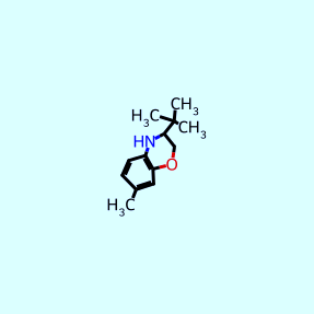 Cc1ccc2c(c1)OCC(C(C)(C)C)N2